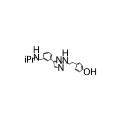 CC(C)NCc1cccc(-c2ccnc(NCCc3ccc(O)cc3)n2)c1